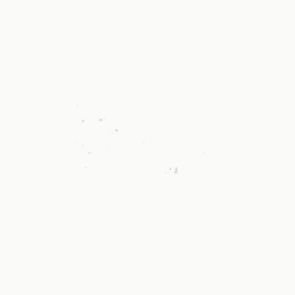 NC(CSCc1cc(Cl)cc(Cl)c1)C(=O)O